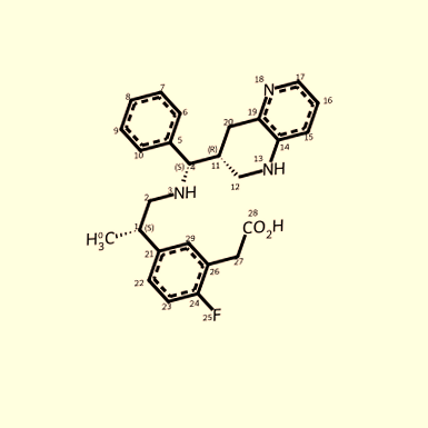 C[C@H](CN[C@H](c1ccccc1)[C@H]1CNc2cccnc2C1)c1ccc(F)c(CC(=O)O)c1